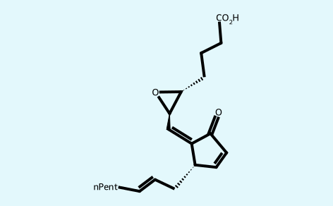 CCCCCC=CC[C@H]1C=CC(=O)C1=C[C@H]1O[C@@H]1CCCC(=O)O